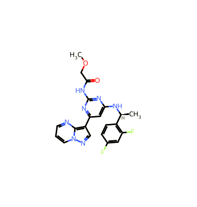 COCC(=O)Nc1nc(N[C@@H](C)c2ccc(F)cc2F)cc(-c2cnn3cccnc23)n1